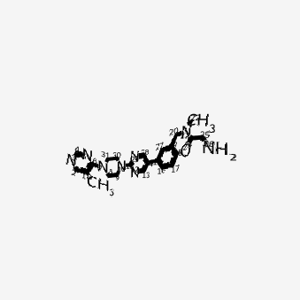 Cc1cncnc1N1CCN(c2ncc(-c3cccc(CN(C)C(=O)CN)c3)cn2)CC1